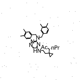 CCC[C@@H](C(C)=O)C1(CCNc2cnnc(N(Cc3ccc(C)c(C)c3)Cc3ccc(C)c(C)c3)n2)CC1